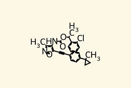 Cc1noc(C#Cc2ccc(C3(C)CC3)cc2)c1NC(=O)OC(C)c1ccccc1Cl